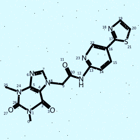 Cn1c(=O)c2c(ncn2CC(=O)Nc2ccc(-c3nccs3)cn2)n(C)c1=O